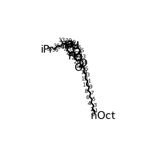 CCCCCCCC/C=C/CCCCCCCCCCCCCC(=O)O[C@H]1CC[C@@]2(C)C(=CC[C@H]3[C@@H]4CC[C@H]([C@H](C)CCCC(C)C)[C@@]4(C)CC[C@@H]32)C1